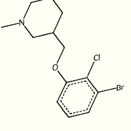 CN1CCCC(COc2cccc(Br)c2Cl)C1